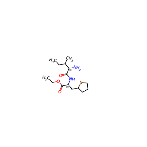 CCOC(=O)[C@H](CC1CCCS1)NC(=O)[C@@H](N)C(C)CC